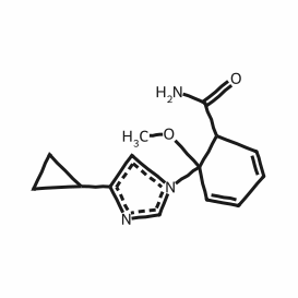 COC1(n2cnc(C3CC3)c2)C=CC=CC1C(N)=O